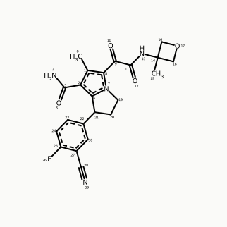 Cc1c(C(N)=O)c2n(c1C(=O)C(=O)NC1(C)COC1)CCC2c1ccc(F)c(C#N)c1